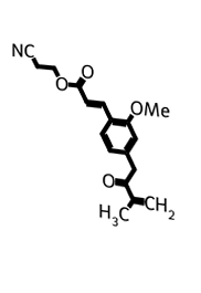 C=C(C)C(=O)Cc1ccc(/C=C/C(=O)OCCC#N)c(OC)c1